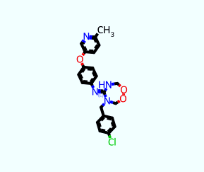 Cc1ccc(Oc2ccc(/N=C3\NCOOCN3Cc3ccc(Cl)cc3)cc2)cn1